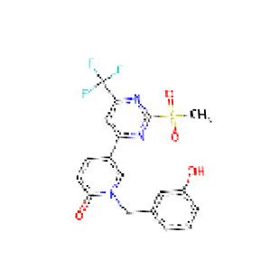 CS(=O)(=O)c1nc(-c2ccc(=O)n(Cc3cccc(O)c3)c2)cc(C(F)(F)F)n1